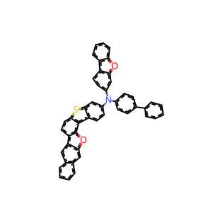 c1ccc(-c2ccc(N(c3ccc4c(c3)oc3ccccc34)c3ccc4c(c3)sc3ccc5c6cc7ccccc7cc6oc5c34)cc2)cc1